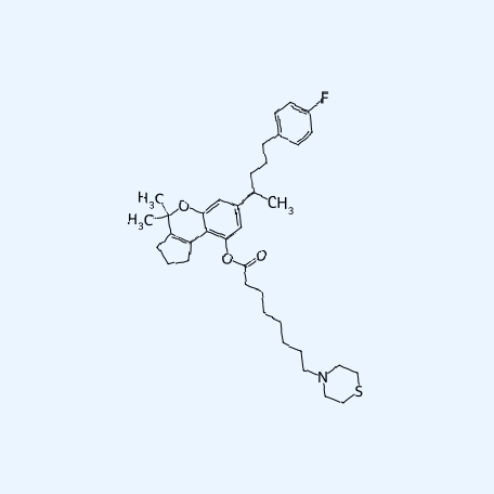 CC(CCCc1ccc(F)cc1)c1cc(OC(=O)CCCCCCCN2CCSCC2)c2c(c1)OC(C)(C)C1=C2CCC1